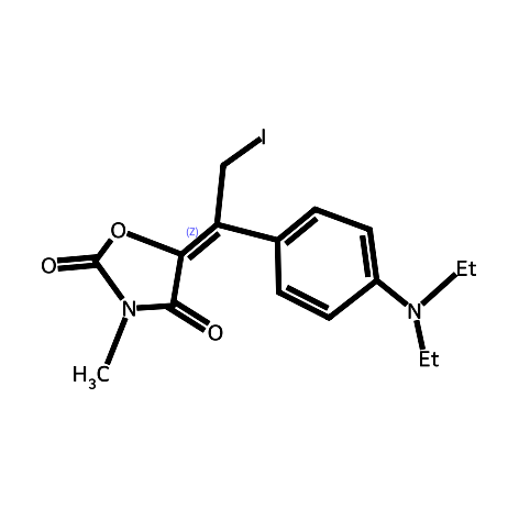 CCN(CC)c1ccc(/C(CI)=C2/OC(=O)N(C)C2=O)cc1